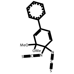 COC1(OC)C=C(c2ccccc2)C=CC1(N=C=S)N=C=S